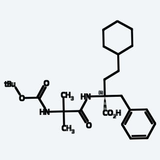 CC(C)(C)OC(=O)NC(C)(C)C(=O)N[C@@](CCC1CCCCC1)(Cc1ccccc1)C(=O)O